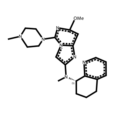 COc1cc2nc(N(C)[C@H]3CCCc4cccnc43)cn2c(N2CCN(C)CC2)n1